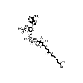 CC[C@@H](O)CCSCCNC(=O)CCNC(=O)[C@H](O)C(C)(C)COP(=O)(O)OP(=O)(O)OC[C@H]1O[C@@H](n2cnc3c(N)ncnc32)[C@H](O)[C@@H]1OP(=O)(O)O